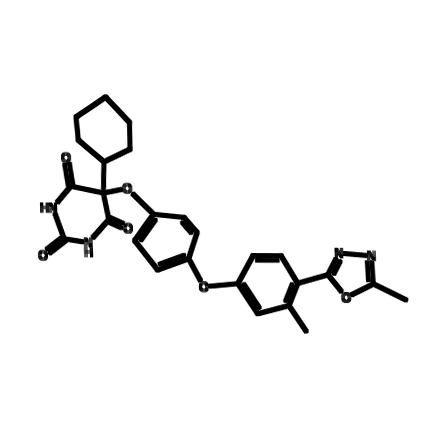 Cc1nnc(-c2ccc(Oc3ccc(OC4(C5CCCCC5)C(=O)NC(=O)NC4=O)cc3)cc2C)o1